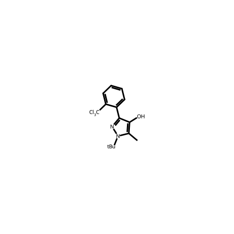 Cc1c(O)c(-c2ccccc2C(Cl)(Cl)Cl)nn1C(C)(C)C